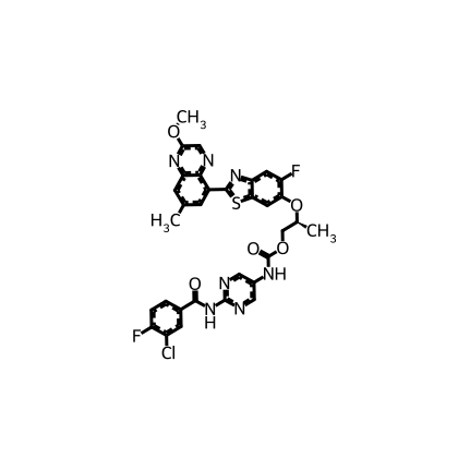 COc1cnc2c(-c3nc4cc(F)c(O[C@@H](C)COC(=O)Nc5cnc(NC(=O)c6ccc(F)c(Cl)c6)nc5)cc4s3)cc(C)cc2n1